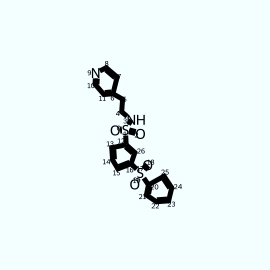 O=S(=O)(NCCc1ccncc1)c1cccc(S(=O)(=O)c2ccccc2)c1